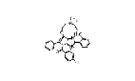 Cc1ccccc1C(=O)N1CCCN(C)CCOC(=O)C1c1nc2cc(Cl)ccc2c(=O)n1Cc1ccccc1